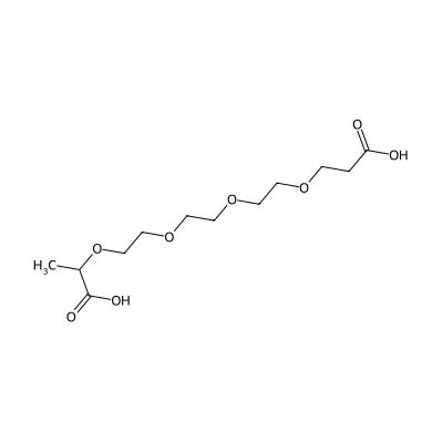 CC(OCCOCCOCCOCCC(=O)O)C(=O)O